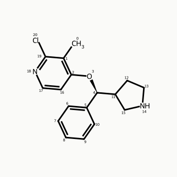 Cc1c(O[C@H](c2ccccc2)C2CCNC2)ccnc1Cl